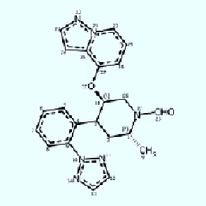 C[C@@H]1CC(c2ccccc2-n2nccn2)[C@@H](Oc2cccn3nccc23)CN1C=O